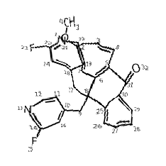 COc1ccc2c(c1)C(Cc1ccnc(F)c1)(Cc1ccnc(F)c1)c1ccccc1C2=O